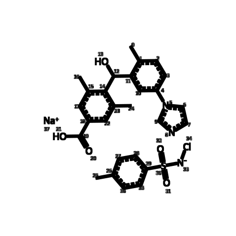 Cc1ccc(-n2ccnc2)cc1C(O)c1c(C)cc(C(=O)O)cc1C.Cc1ccc(S(=O)(=O)[N-]Cl)cc1.[Na+]